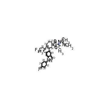 C=NN(C)/N=C(\C)S(=O)(=O)N1CCCN(CCC(F)(F)F)C(c2cc3cnn(-c4ccc(F)cc4)c3cc2C)C1